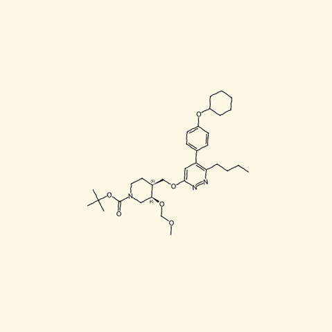 CCCCc1nnc(OC[C@@H]2CCN(C(=O)OC(C)(C)C)C[C@@H]2OCOC)cc1-c1ccc(OC2CCCCC2)cc1